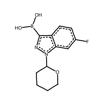 OB(O)c1nn(C2CCCCO2)c2cc(F)ccc12